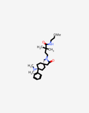 COCCNC(=O)C(C)(C)CCN1C[C@]2(CC[C@](c3ccccc3)(N(C)C)CC2)CC1=O